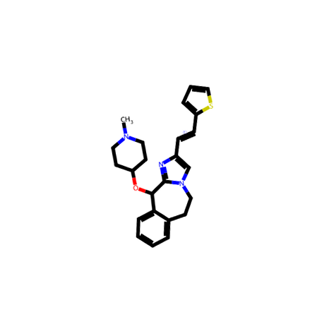 CN1CCC(OC2c3ccccc3CCn3cc(/C=C/c4cccs4)nc32)CC1